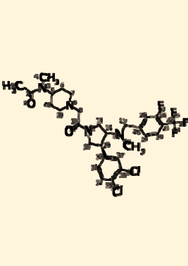 CC(=O)N(C)C1CCN(CC(=O)N2CC(N(C)Cc3ccc(C(F)(F)F)c(F)c3)[C@@H](c3ccc(Cl)c(Cl)c3)C2)CC1